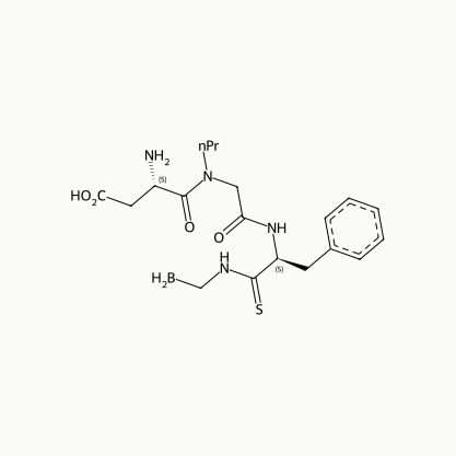 BCNC(=S)[C@H](Cc1ccccc1)NC(=O)CN(CCC)C(=O)[C@@H](N)CC(=O)O